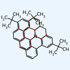 CC(C)(C)c1cc(-c2ccccc2N(c2ccc(C(C)(C)C)cc2-c2ccccc2)C2CC=CC=C2c2cccc3cccc(C4CCCCC4)c23)cc(C(C)(C)C)c1